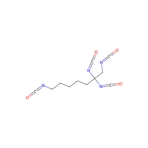 O=C=NCCCCCC(CN=C=O)(N=C=O)N=C=O